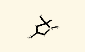 CC(C)(C)C1C[N]([Rh])C(C)(C)C1